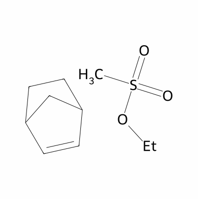 C1=CC2CCC1C2.CCOS(C)(=O)=O